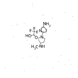 CNC1CCN(c2ccc(N)cn2)CC1.O=C(O)C(F)(F)F